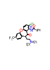 CCN(CC)CCC1C(=O)c2c(ccc(Cl)c2NC(=O)C(C)C)Oc2cc(C(F)(F)F)ccc21